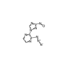 [N-]=[N+]=Nc1nccnc1-n1cnc(N=O)n1